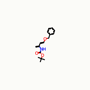 C=C(/C=C/OCc1ccccc1)NC(=O)OC(C)(C)C